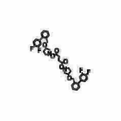 O=C(/C=C/C(=O)ON1CC[C@@H](OCc2ccccc2-c2ccc(F)c(F)c2)C1)ON1CC[C@@H](OCc2ccccc2-c2ccc(F)c(F)c2)C1